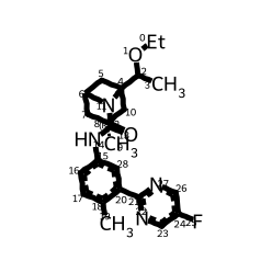 CCOC(C)C12CC(C[C@@H](C)C1)N2C(=O)Nc1ccc(C)c(-c2ncc(F)cn2)c1